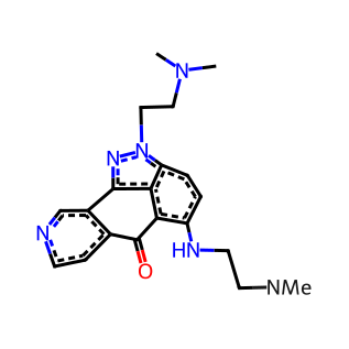 CNCCNc1ccc2c3c(nn2CCN(C)C)-c2cnccc2C(=O)c13